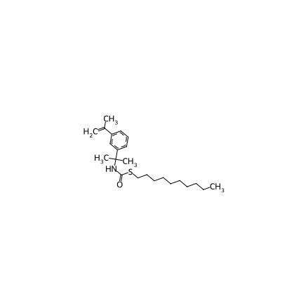 C=C(C)c1cccc(C(C)(C)NC(=O)SCCCCCCCCCC)c1